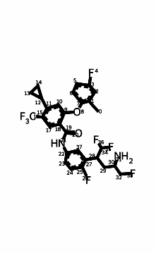 Cc1cc(F)ccc1Oc1cc(C2CC2)c(C(F)(F)F)cc1C(=O)Nc1ccc(F)c(C(CC(N)CF)C(F)F)c1